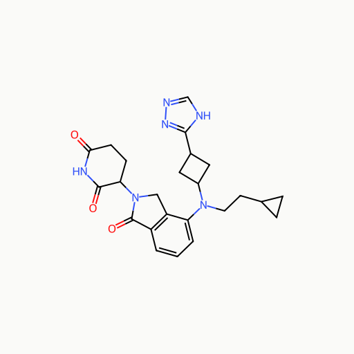 O=C1CCC(N2Cc3c(cccc3N(CCC3CC3)C3CC(c4nnc[nH]4)C3)C2=O)C(=O)N1